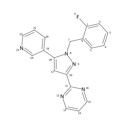 Fc1ccccc1Cn1nc(-c2ncccn2)cc1-c1cccnc1